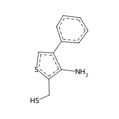 Nc1c(-c2ccccc2)csc1CS